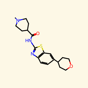 CN1CCC(C(=O)Nc2nc3ccc(C4CCOCC4)cc3s2)CC1